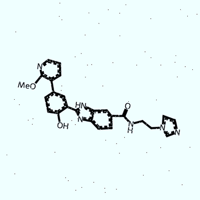 COc1ncccc1-c1ccc(O)c(-c2nc3ccc(C(=O)NCCn4ccnc4)cc3[nH]2)c1